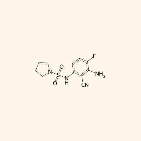 N#Cc1c(NS(=O)(=O)N2CCCC2)ccc(F)c1N